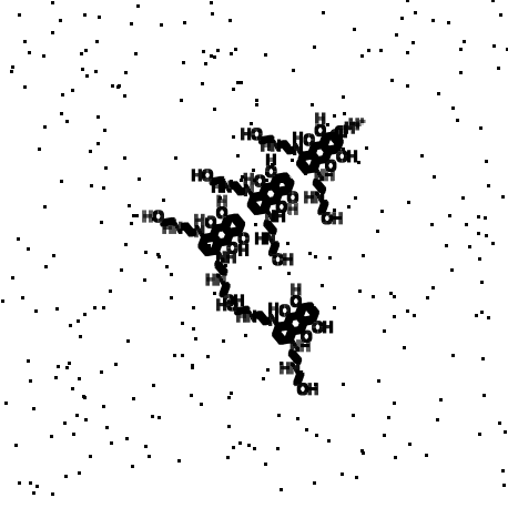 O=C1c2c(O)ccc(O)c2C(=O)c2c(NCCNCCO)ccc(NCCNCCO)c21.O=C1c2c(O)ccc(O)c2C(=O)c2c(NCCNCCO)ccc(NCCNCCO)c21.O=C1c2c(O)ccc(O)c2C(=O)c2c(NCCNCCO)ccc(NCCNCCO)c21.O=C1c2c(O)ccc(O)c2C(=O)c2c(NCCNCCO)ccc(NCCNCCO)c21.[Cl-].[Cl-].[H+].[H+]